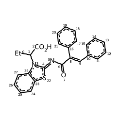 CCC(C(=O)O)n1c(=NC(=O)C(=Cc2ccccc2)c2ccccc2)sc2ccccc21